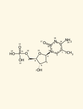 Cc1cn([C@H]2C[C@H](O)[C@@H](COP(=O)(O)O)O2)c(=O)nc1N